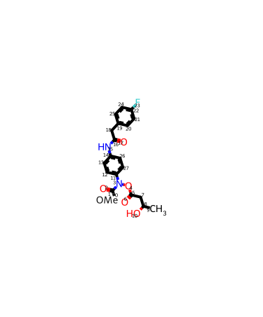 COC(=O)N(OC(=O)CC(C)O)c1ccc(NC(=O)Cc2ccc(F)cc2)cc1